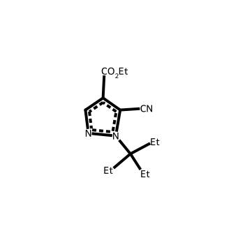 CCOC(=O)c1cnn(C(CC)(CC)CC)c1C#N